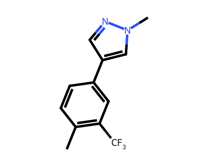 Cc1ccc(-c2cnn(C)c2)cc1C(F)(F)F